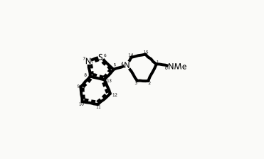 CNC1CCN(c2snc3ccccc23)CC1